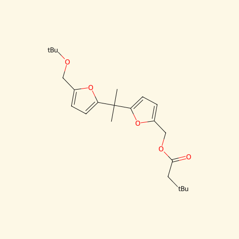 CC(C)(C)CC(=O)OCc1ccc(C(C)(C)c2ccc(COC(C)(C)C)o2)o1